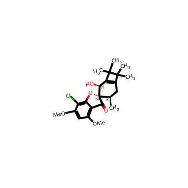 COc1cc(OC)c2c(c1Cl)O[C@@]1(C2=O)[C@H](C)CC2=C([C@@H]1O)C(C)(C)C2(C)C